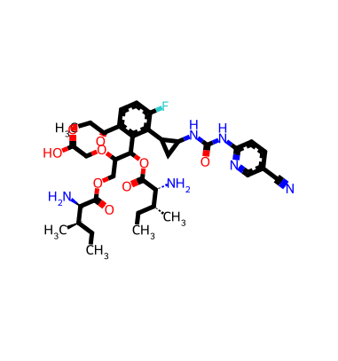 CCC(=O)c1ccc(F)c(C2CC2NC(=O)Nc2ccc(C#N)cn2)c1C(OC(=O)[C@H](N)[C@H](C)CC)C(COC(=O)[C@H](N)[C@H](C)CC)OCC(=O)O